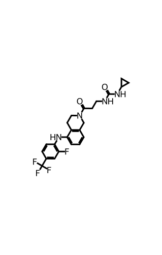 O=C(NCCC(=O)N1CCc2c(cccc2Nc2ccc(C(F)(F)F)cc2F)C1)NC1CC1